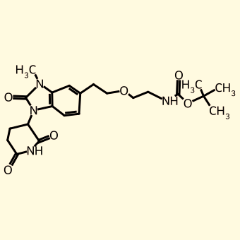 Cn1c(=O)n(C2CCC(=O)NC2=O)c2ccc(CCOCCNC(=O)OC(C)(C)C)cc21